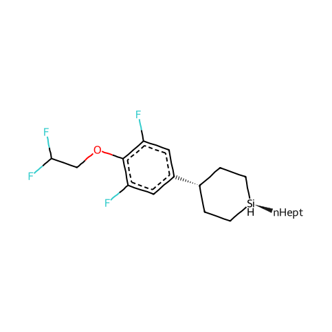 CCCCCCC[Si@H]1CC[C@H](c2cc(F)c(OCC(F)F)c(F)c2)CC1